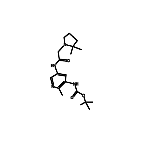 Cc1ncc(NC(=O)CN2CCCC2(C)C)cc1NC(=O)OC(C)(C)C